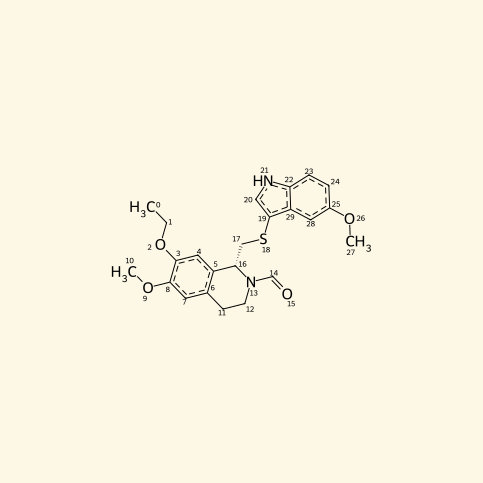 CCOc1cc2c(cc1OC)CCN(C=O)[C@H]2CSc1c[nH]c2ccc(OC)cc12